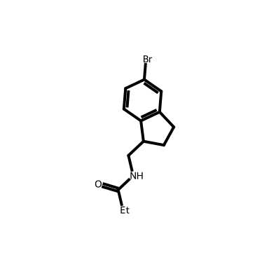 CCC(=O)NCC1CCc2cc(Br)ccc21